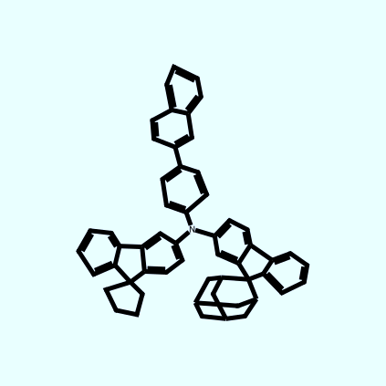 c1ccc2c(c1)-c1cc(N(c3ccc(-c4ccc5ccccc5c4)cc3)c3ccc4c(c3)C3(c5ccccc5-4)C4CC5CC(C4)CC3C5)ccc1C21CCCC1